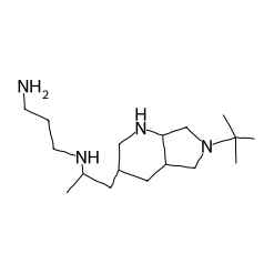 CC(CC1CNC2CN(C(C)(C)C)CC2C1)NCCCN